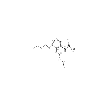 CCCCCc1cccc(NC(=O)O)c1CCCCC